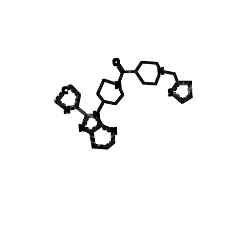 O=C(C1CCN(Cc2cccs2)CC1)N1CCC(n2c(-c3ccccn3)nc3cccnc32)CC1